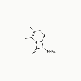 C=C1C(NC(C)=O)C2SCC(C)=C(C)N12